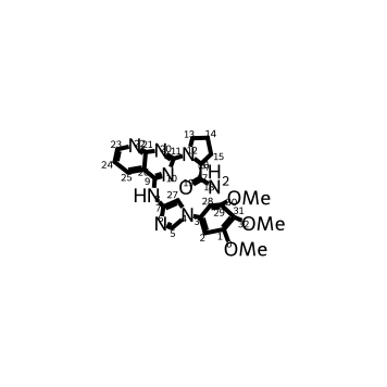 COc1cc(-n2cnc(Nc3nc(N4CCC[C@H]4C(N)=O)nc4ncccc34)c2)cc(OC)c1OC